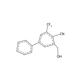 N#Cc1c(CO)cc(-c2ccccc2)cc1C(F)(F)F